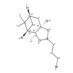 CC1(C)[C@@H]2C[C@H]3OB(CCCBr)O[C@@]3(C)[C@H]1C2